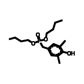 CCCCOP(=O)(Cc1cc(C)c(O)c(C)c1)OCCCC